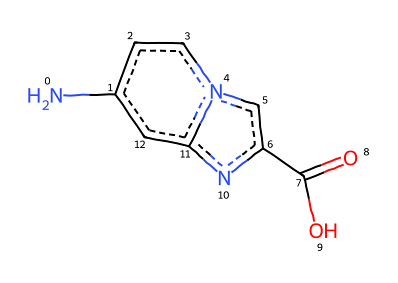 Nc1ccn2cc(C(=O)O)nc2c1